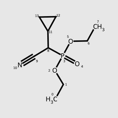 CCOP(=O)(OCC)C(C#N)C1CC1